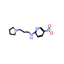 O=[N+]([O-])c1ccc(NCCCN2CCCC2)nc1